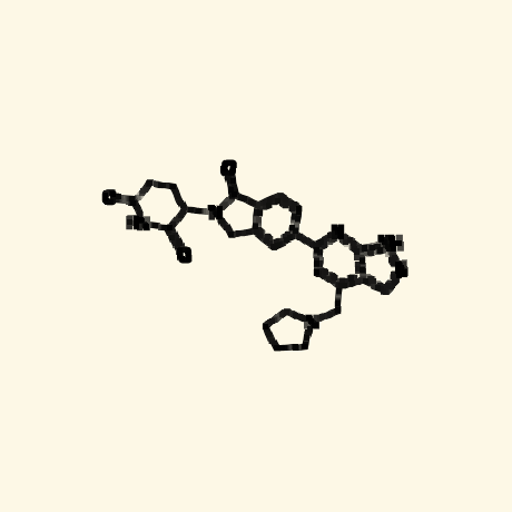 O=C1CCC(N2Cc3cc(-c4cc(CN5CCCC5)c5cn[nH]c5n4)ccc3C2=O)C(=O)N1